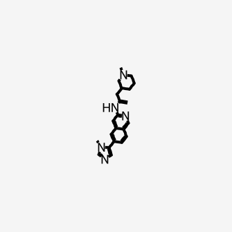 C=C(CC1CCCN(C)C1)Nc1cc2cc(-c3cncn3C)ccc2cn1